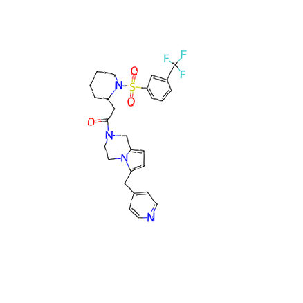 O=C(CC1CCCCN1S(=O)(=O)c1cccc(C(F)(F)F)c1)N1CCn2c(Cc3ccncc3)ccc2C1